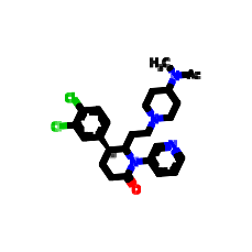 CC(=O)N(C)C1CCN(CCC2[C@H](c3ccc(Cl)c(Cl)c3)CCC(=O)N2c2cccnc2)CC1